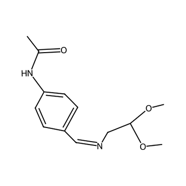 COC(C/N=C\c1ccc(NC(C)=O)cc1)OC